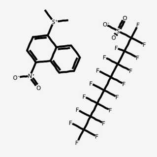 C[S+](C)c1ccc([N+](=O)[O-])c2ccccc12.O=S(=O)([O-])C(F)(F)C(F)(F)C(F)(F)C(F)(F)C(F)(F)C(F)(F)C(F)(F)C(F)(F)F